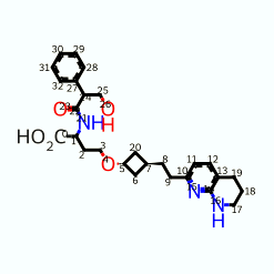 O=C(O)C(CCO[C@H]1C[C@H](CCc2ccc3c(n2)NCCC3)C1)NC(=O)C(CO)c1ccccc1